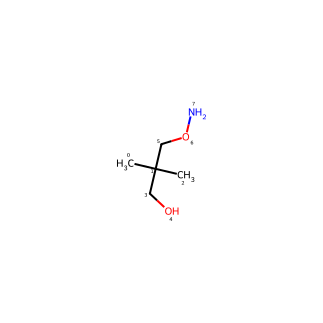 CC(C)(CO)CON